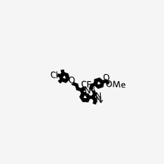 COC(=O)c1ccc(CCn2c(C(F)(F)F)c(CCCOc3cc(C)c(Cl)c(C)c3)c3cccc(-c4c(C)nn(C)c4C)c32)cc1